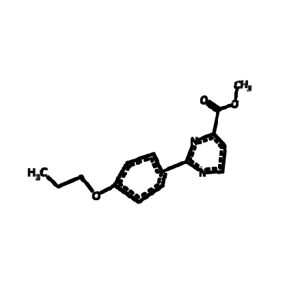 CCCOc1ccc(-c2nccc(C(=O)OC)n2)cc1